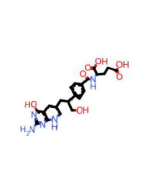 Nc1nc(O)c2c(n1)NCC(CC(CO)c1ccc(C(=O)NC(CCC(=O)O)C(=O)O)cc1)C2